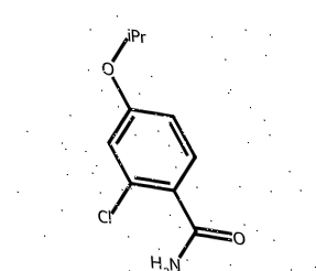 CC(C)Oc1ccc(C(N)=O)c(Cl)c1